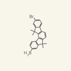 Bc1ccc2c(c1)C(C)(C)c1ccc3c(c1-2)C(C)(C)c1cc(Br)ccc1-3